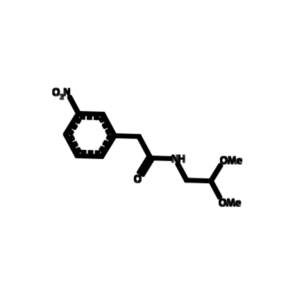 COC(CNC(=O)Cc1cccc([N+](=O)[O-])c1)OC